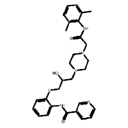 Cc1cccc(C)c1NC(=O)CN1CCN(CC(O)COc2ccccc2NC(=O)c2cccnc2)CC1